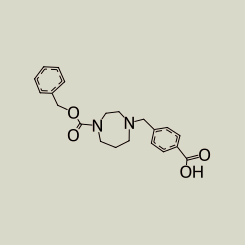 O=C(O)c1ccc(CN2CCCN(C(=O)OCc3ccccc3)CC2)cc1